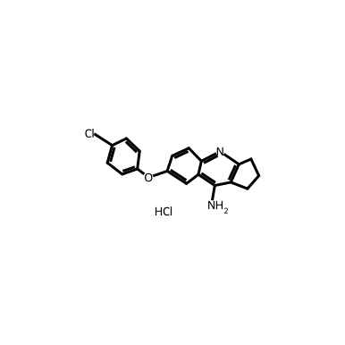 Cl.Nc1c2c(nc3ccc(Oc4ccc(Cl)cc4)cc13)CCC2